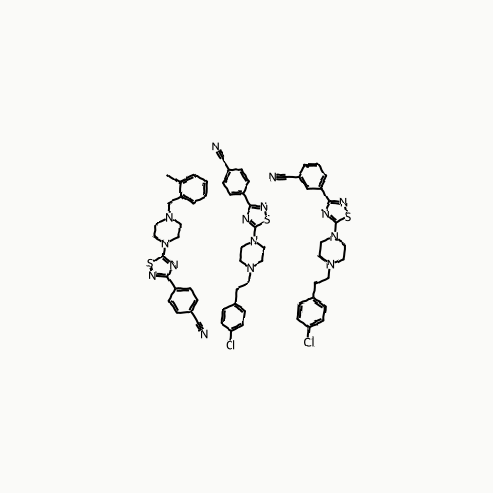 Cc1ccccc1CN1CCN(c2nc(-c3ccc(C#N)cc3)ns2)CC1.N#Cc1ccc(-c2nsc(N3CCN(CCc4ccc(Cl)cc4)CC3)n2)cc1.N#Cc1cccc(-c2nsc(N3CCN(CCc4ccc(Cl)cc4)CC3)n2)c1